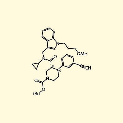 C#Cc1cccc([C@H]2CCN(C(=O)OC(C)(C)C)C[C@@H]2C(=O)N(Cc2cn(CCCOC)c3ccccc23)C2CC2)c1